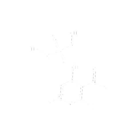 COS(=O)(=O)OC.Cc1c[n+]([O-])cc(C)c1[N+](=O)[O-]